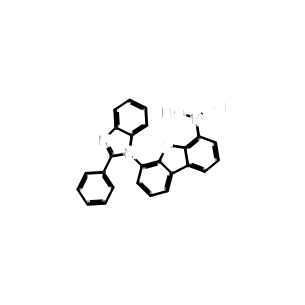 OB(O)c1cccc2c1sc1c(-n3c(-c4ccccc4)nc4ccccc43)cccc12